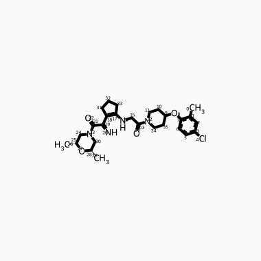 Cc1cc(Cl)ccc1OC1CCN(C(=O)CNC2=C(C(=N)C(=O)N3C[C@@H](C)O[C@@H](C)C3)CCC2)CC1